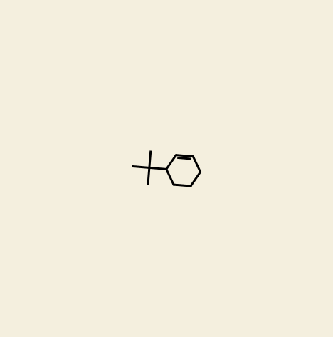 CC(C)(C)[C]1C=CCCC1